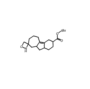 CC(C)(C)OC(=O)C1CCC2CC3CC4(CCCC3=C2C1)CON4